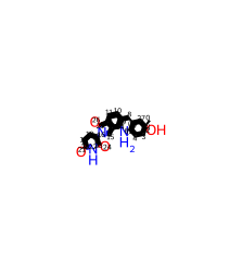 C[C@@]1(O)CC[C@H](N)[C@@H](Cc2ccc3c(c2)CN([C@H]2CCC(=O)NC2=O)C3=O)C1